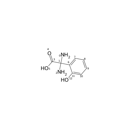 NC(N)(C(=O)O)c1ccccc1O